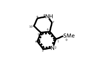 CSc1nccc2c1CNCC2